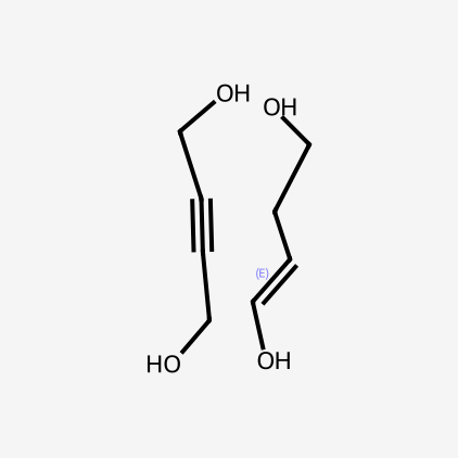 O/C=C/CCO.OCC#CCO